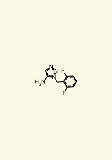 Nc1cnnn1Cc1c(F)cccc1F